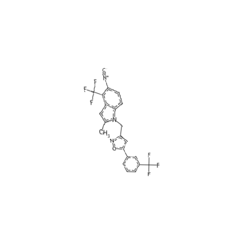 [C-]#[N+]c1ccc2c(cc(C)n2Cc2cc(-c3cccc(C(F)(F)F)c3)on2)c1C(F)(F)F